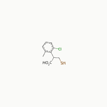 Cc1cccc(Cl)c1C(CS)C(=O)O